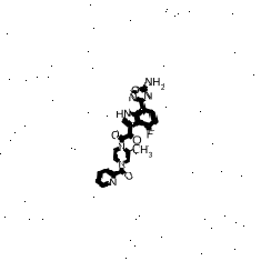 C[C@@H]1CN(C(=O)c2ccccn2)CCN1C(=O)C(=O)c1c[nH]c2c(-c3noc(N)n3)ccc(F)c12